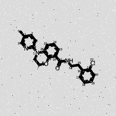 Cc1ccc(N2CCOc3c(C(=O)NCCc4ccccc4Cl)cccc32)nc1